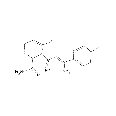 N=C(/C=C(\N)C1=CCC(F)C=C1)C1C(F)=CC=CC1C(N)=O